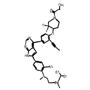 CC#Cc1cc(-c2ncnc3[nH]c(-c4ccc(N(C)CCN(C)C(CC)CC)c(CC)c4)cc23)ccc1OC1CCN(C(=O)CO)CC1(F)F